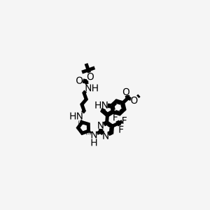 COC(=O)c1ccc2c(-c3nc(N[C@H]4CC[C@H](NCCCCNC(=O)OC(C)(C)C)C4)ncc3C(F)(F)F)c[nH]c2c1